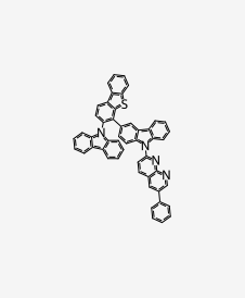 c1ccc(-c2cnc3nc(-n4c5ccccc5c5cc(-c6c(-n7c8ccccc8c8ccccc87)ccc7c6sc6ccccc67)ccc54)ccc3c2)cc1